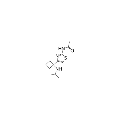 CC(=O)Nc1nc(C2(NC(C)C)CCC2)cs1